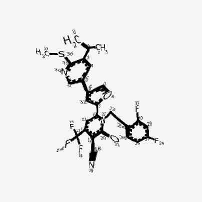 C=C(C)c1cc(-c2coc(-c3cc(C(F)(F)F)c(C#N)c(=O)n3Cc3ccc(F)cc3F)c2)cnc1SC